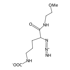 COCCNC(=O)C(CCCNC(=O)[O-])N=[N+]=N